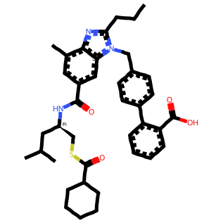 CCCc1nc2c(C)cc(C(=O)N[C@@H](CSC(=O)C3CCCCC3)CC(C)C)cc2n1Cc1ccc(-c2ccccc2C(=O)O)cc1